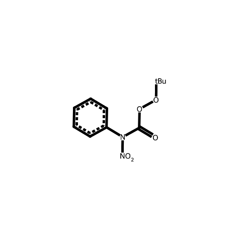 CC(C)(C)OOC(=O)N(c1ccccc1)[N+](=O)[O-]